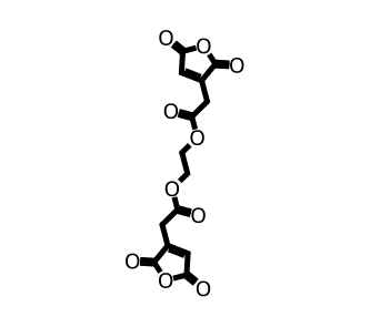 O=C1C=C(CC(=O)OCCOC(=O)CC2=CC(=O)OC2=O)C(=O)O1